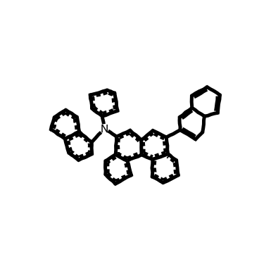 C1=CC2=CC(c3cc4cc(N(c5ccccc5)c5cccc6ccccc56)c5ccccc5c4c4ccccc34)=CCC2C=C1